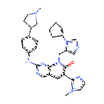 CN1CCC(c2ccc(Nc3ncc4cc(-c5nccn5C)c(=O)n(Cc5cncn5C5=CCCC5)c4n3)cc2)C1